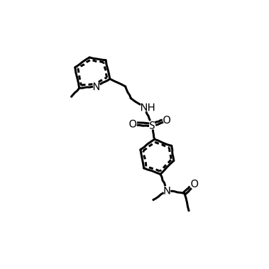 CC(=O)N(C)c1ccc(S(=O)(=O)NCCc2cccc(C)n2)cc1